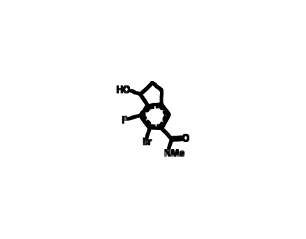 CNC(=O)c1cc2c(c(F)c1Br)C(O)CC2